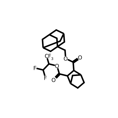 O=C(OCC12CC3CC(CC(C3)C1)C2)C1C2CCC(C2)C1C(=O)OC(C(F)F)C(F)(F)F